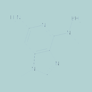 BN(C)c1nc(N)cc2c1ncn2C